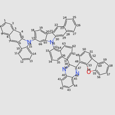 c1ccc2cc3c(cc2c1)c1ccccc1n3-c1ccc2c3cc4ccccc4cc3n(-c3cccc4c(-c5nc6ccccc6nc5-c5cccc6c5oc5ccccc56)cccc34)c2c1